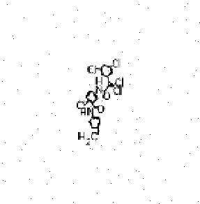 C=Cc1ccc(NC(=O)c2cc(NC(=O)C3C(c4cc(Cl)cc(Cl)c4)C3(Cl)Cl)ccc2Cl)cc1